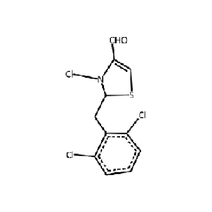 O=CC1=CSC(Cc2c(Cl)cccc2Cl)N1Cl